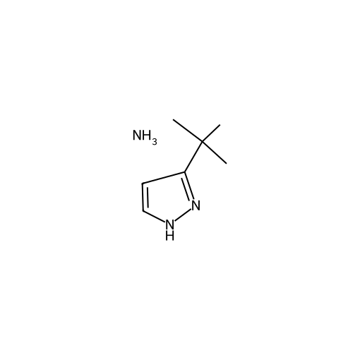 CC(C)(C)c1cc[nH]n1.N